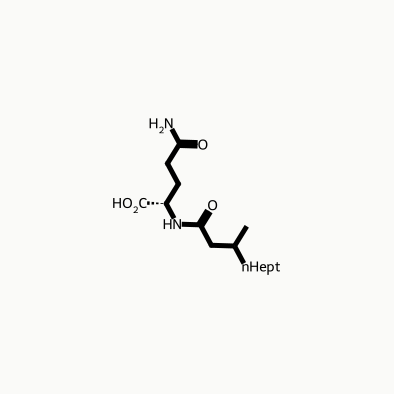 CCCCCCCC(C)CC(=O)N[C@@H](CCC(N)=O)C(=O)O